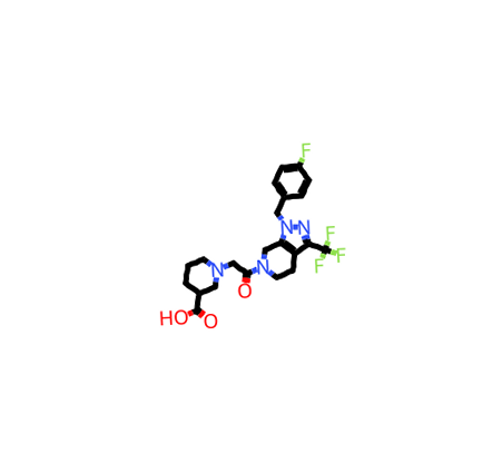 O=C(O)C1CCCN(CC(=O)N2CCc3c(C(F)(F)F)nn(Cc4ccc(F)cc4)c3C2)C1